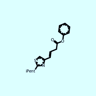 CCCC(C)c1nc(C=CCC(=O)Oc2ccccc2)cs1